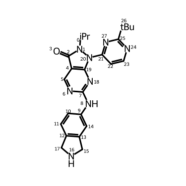 CC(C)n1c(=O)c2cnc(Nc3ccc4c(c3)CNC4)nc2n1-c1ccnc(C(C)(C)C)n1